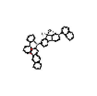 CC1(C)c2cc(-c3cccc4ccccc34)ccc2-c2ccc(N(c3ccc4cc5ccccc5cc4c3)c3ccccc3-c3ccccc3)cc21